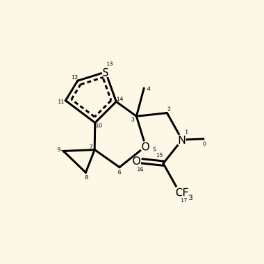 CN(CC1(C)OCC2(CC2)c2ccsc21)C(=O)C(F)(F)F